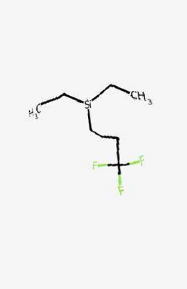 CC[Si](CC)CCC(F)(F)F